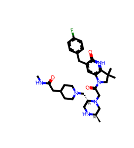 CNC(=O)CC1CCN(C[C@H]2CN[C@H](C)CN2CC(=O)N2CC(C)(C)c3[nH]c(=O)c(Cc4ccc(F)cc4)cc32)CC1